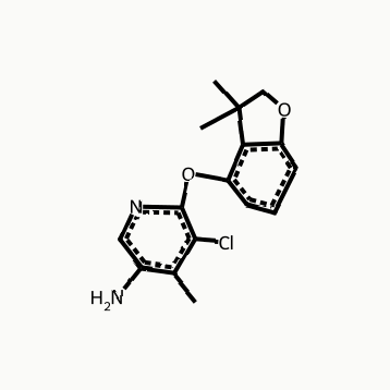 Cc1c(N)cnc(Oc2cccc3c2C(C)(C)CO3)c1Cl